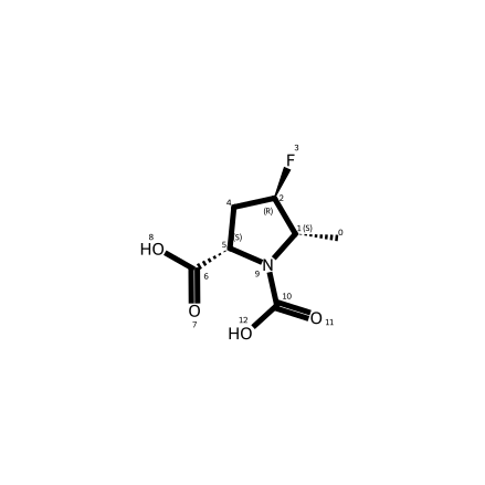 C[C@H]1[C@H](F)C[C@@H](C(=O)O)N1C(=O)O